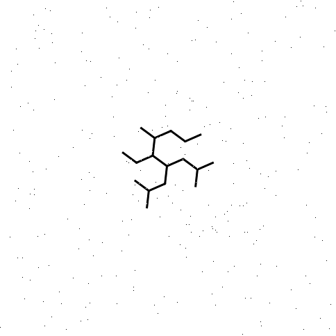 CCCC(C)C(CC)C(CC(C)C)CC(C)C